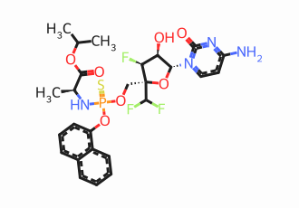 CC(C)OC(=O)[C@H](C)NP(=S)(OC[C@@]1(C(F)F)O[C@@H](n2ccc(N)nc2=O)[C@H](O)[C@@H]1F)Oc1cccc2ccccc12